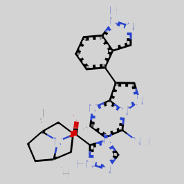 Nc1cc([C@@H]2C[C@H]3CC[C@@H](C2)N3C(=O)c2ncn[nH]2)nc2c(-c3cccc4[nH]ncc34)cnn12